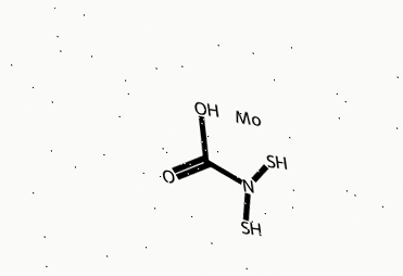 O=C(O)N(S)S.[Mo]